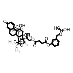 CC[C@H]1C2CCC3=CC(=O)C=C[C@]3(C)[C@@]2(F)[C@@H](O)C[C@]1(C)[C@@]1(C(=O)COC(=O)CCC(=O)Oc2cccc(CON(O)O)c2)COC(C)(C)O1